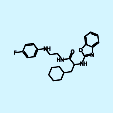 O=C(NCCNc1ccc(F)cc1)C(CC1CCCCC1)Nc1nc2ccccc2o1